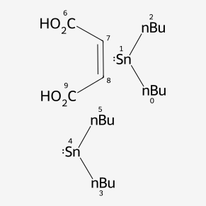 CCC[CH2][Sn][CH2]CCC.CCC[CH2][Sn][CH2]CCC.O=C(O)/C=C\C(=O)O